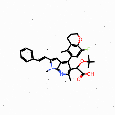 Cc1nc2c(cc(/C=C/c3ccccc3)n2C)c(-c2cc(F)c3c(c2C)CCCO3)c1C(OC(C)(C)C)C(=O)O